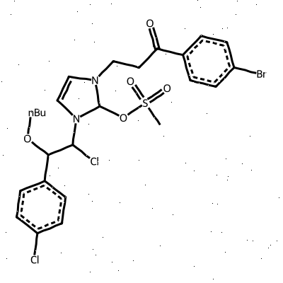 CCCCOC(c1ccc(Cl)cc1)C(Cl)N1C=CN(CCC(=O)c2ccc(Br)cc2)C1OS(C)(=O)=O